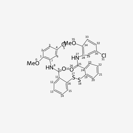 COc1ccc(Cl)cc1NC(=O)c1ccccc1SSc1ccccc1C(=O)Nc1cc(Cl)ccc1OC